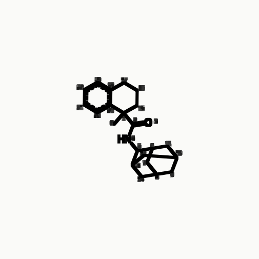 CC1(C(=O)NC2C3CC4CC(C3)CC2C4)CCCc2ccccc21